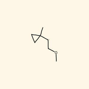 COC[CH]C1(C)CC1